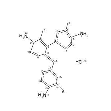 CC1=C(c2ccc(N)c(C)c2)C(=Cc2ccc(N)c(C)c2)C=CC1N.Cl